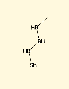 CBBBS